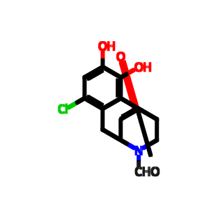 O=CN1CCC23CC(=O)CCC2C1Cc1c(Cl)cc(O)c(O)c13